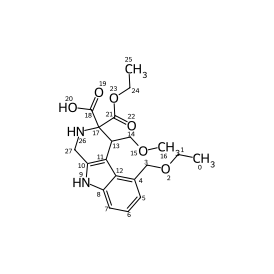 CCOCc1cccc2[nH]c3c(c12)C(COC)C(C(=O)O)(C(=O)OCC)NC3